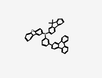 CC1(C)c2ccccc2-c2ccc(N(c3cccc(-c4ccc5c6ccccc6c6ccccc6c5c4)c3)c3ccc4oc5ccccc5c4c3)cc21